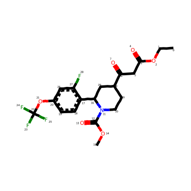 CCOC(=O)CC(=O)C1CCN(C(=O)OC)C(c2ccc(OC(F)(F)F)cc2F)C1